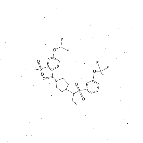 CCC(C1CCN(C(=O)c2ccc(OC(F)F)cc2S(C)(=O)=O)CC1)S(=O)(=O)c1cccc(OC(F)(F)F)c1